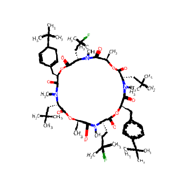 C[C@H]1OC(=O)[C@H](CC(C)(C)C)N(C)C(=O)[C@@H](CC2=CCC(C(C)(C)C)C=C2)OC(=O)[C@H](CC(C)(C)F)N(C)C(=O)[C@@H](C)OC(=O)[C@H](CC(C)(C)C)N(C)C(=O)[C@@H](Cc2ccc(C(C)(C)C)cc2)OC(=O)[C@H](CCC(C)(C)F)N(C)C1=O